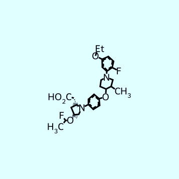 CCOc1ccc(F)c(N2CCC(Oc3ccc(N4C[C@H](OC(C)F)C[C@@H]4CC(=O)O)cc3)C(C)C2)c1